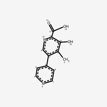 Cc1c(-c2ccncc2)cnc(C(=O)O)c1O